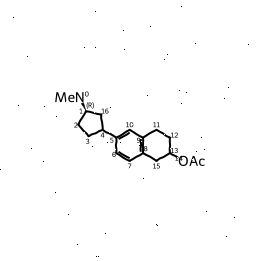 CN[C@@H]1CCC(c2ccc3c(c2)CCC(OC(C)=O)C3)C1